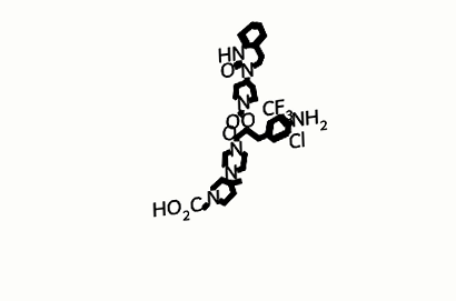 CC1(N2CCN(C(=O)C(Cc3cc(Cl)c(N)c(C(F)(F)F)c3)OC(=O)N3CCC(N4CCc5ccccc5NC4=O)CC3)CC2)CCN(CC(=O)O)CC1